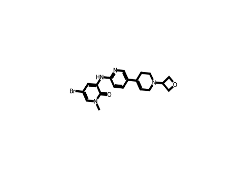 Cn1cc(Br)cc(Nc2ccc(C3=CCN(C4COC4)CC3)cn2)c1=O